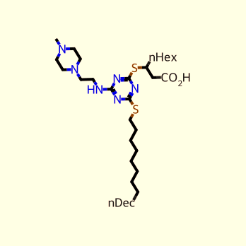 CCCCCCCCCCCCCCCCCCSc1nc(NCCN2CCN(C)CC2)nc(SC(CCCCCC)CC(=O)O)n1